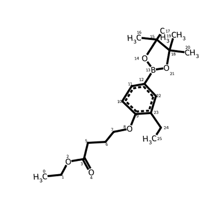 CCOC(=O)CCCOc1ccc(B2OC(C)(C)C(C)(C)O2)cc1CC